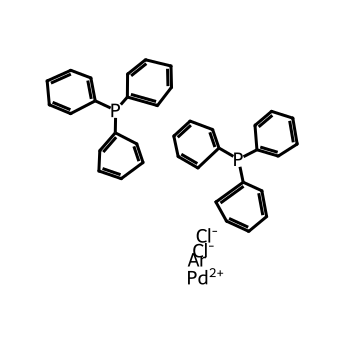 [Ar].[Cl-].[Cl-].[Pd+2].c1ccc(P(c2ccccc2)c2ccccc2)cc1.c1ccc(P(c2ccccc2)c2ccccc2)cc1